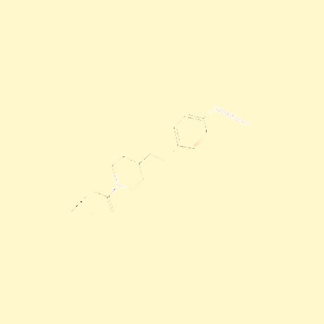 CC(C)(C)OC(=O)N1CCC(COc2ccc(N=[N+]=N)cc2)CC1